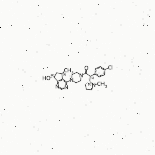 C[C@@H]1C[C@@H](O)c2ncnc(N3CCN(C(=O)[C@@H](c4ccc(Cl)cc4)[C@H]4CCCN4C)CC3)c21